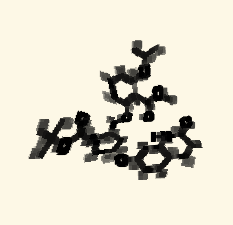 COC(=O)c1c(OC[C@H]2C[C@H](Oc3ccc4c(c3)NC(=O)CC4)CN2C(=O)OC(C)(C)C)cccc1OC(C)C